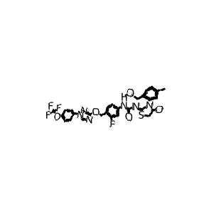 COCc1ccc(C)cc1N1C(=O)CSC1=NC(=O)Nc1ccc(COc2ncn(-c3ccc(OC(F)(F)F)cc3)n2)c(F)c1